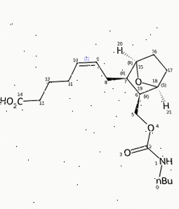 CCCCNC(=O)OC[C@H]1[C@@H](C/C=C\CCCC(=O)O)[C@H]2CC[C@@H]1O2